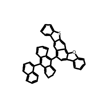 C1=c2c(-c3cccc4ccccc34)c3ccccc3c(-c3cc4c5ccccc5oc4c4cc5sc6ccccc6c5cc34)c2=CCC1